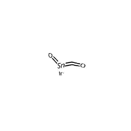 [Ir].[O]=[Sn]=[O]